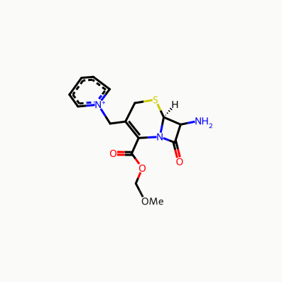 COCOC(=O)C1=C(C[n+]2ccccc2)CS[C@H]2C(N)C(=O)N12